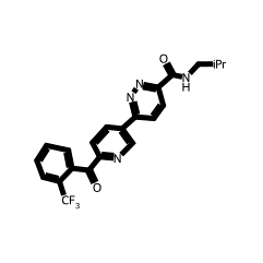 CC(C)CNC(=O)c1ccc(-c2ccc(C(=O)c3ccccc3C(F)(F)F)nc2)nn1